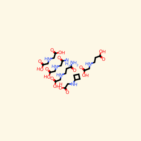 NC(=O)CCNCC(=O)O.NC(=O)CNCC(=O)O.O=C(O)CCNCC(=O)O.O=C(O)CNC1CCC1.O=C(O)CNCC(=O)O